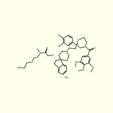 COc1cc(C(=O)N2CCO[C@@](CCN3CCC4(CC3)c3ccccc3C[C@@H]4OCC(=O)N(C)CCOCCO)(c3ccc(Cl)c(Cl)c3)C2)cc(OC)c1OC.Cl